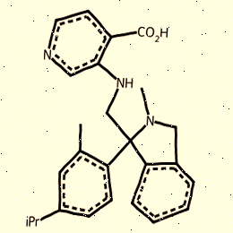 Cc1cc(C(C)C)ccc1C1(CNc2cnccc2C(=O)O)c2ccccc2CN1C